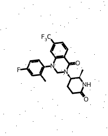 Cc1cc(F)ccc1N1CN([C@@H]2CCC(=O)N[C@@H]2C)C(=O)c2ccc(C(F)(F)F)cc21